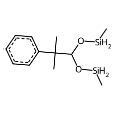 C[SiH2]OC(O[SiH2]C)C(C)(C)c1cc[c]cc1